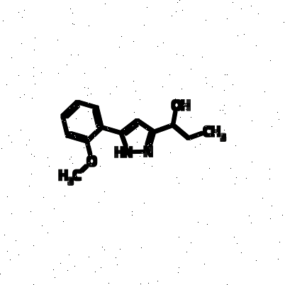 CCC(O)c1cc(-c2ccccc2OC)[nH]n1